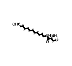 CC(C)C[C@H](N)C(=O)NCCCCCCCCCCC[C]=O